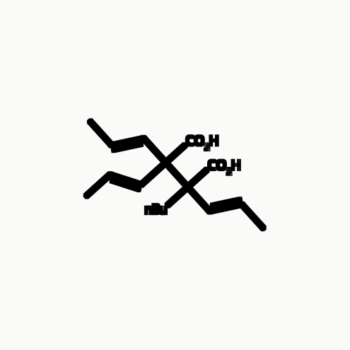 CC=CC(C=CC)(C(=O)O)C(C=CC)(CCCC)C(=O)O